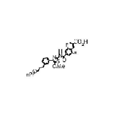 CCCOCCCc1cccc(-c2nc(NC(=O)c3cc(F)c(/C=C(\C)C(=O)O)c(F)c3)sc2OC)c1